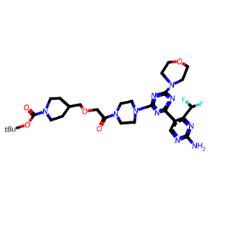 CC(C)(C)OC(=O)N1CCC(COCC(=O)N2CCN(c3nc(-c4cnc(N)nc4C(F)F)nc(N4CCOCC4)n3)CC2)CC1